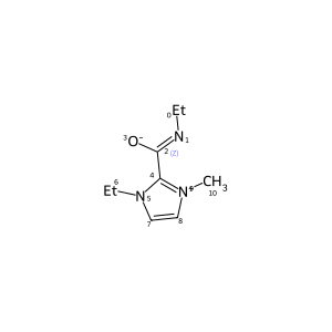 CC/N=C(\[O-])c1n(CC)cc[n+]1C